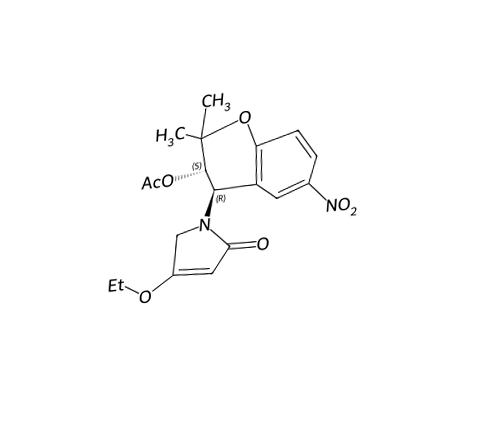 CCOC1=CC(=O)N([C@@H]2c3cc([N+](=O)[O-])ccc3OC(C)(C)[C@H]2OC(C)=O)C1